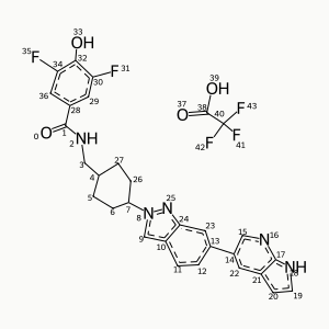 O=C(NCC1CCC(n2cc3ccc(-c4cnc5[nH]ccc5c4)cc3n2)CC1)c1cc(F)c(O)c(F)c1.O=C(O)C(F)(F)F